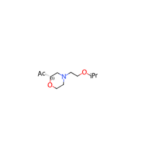 CC(=O)[C@@H]1CN(CCOC(C)C)CCO1